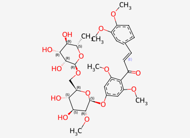 COc1ccc(/C=C/C(=O)c2c(OC)cc(O[C@@H]3O[C@H](CO[C@@H]4O[C@@H](C)[C@H](O)[C@@H](O)[C@H]4O)[C@@H](O)[C@H](O)[C@H]3OC)cc2OC)cc1OC